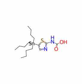 CCC[CH2][Sn]([CH2]CCC)([CH2]CCC)[c]1cnc(NC(=O)O)s1